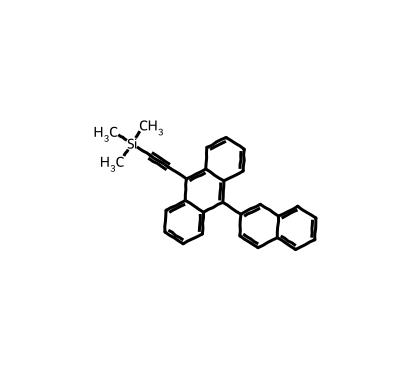 C[Si](C)(C)C#Cc1c2ccccc2c(-c2ccc3ccccc3c2)c2ccccc12